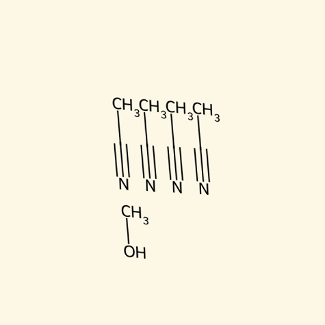 CC#N.CC#N.CC#N.CC#N.CO